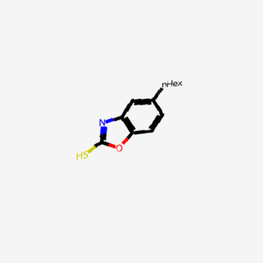 CCCCCCc1ccc2oc(S)nc2c1